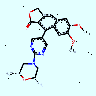 COc1cc2cc3c(c(-c4cnc(N5C[C@@H](C)O[C@@H](C)C5)nc4)c2cc1OC)C(=O)OC3